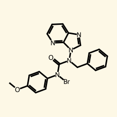 COc1ccc(N(Br)C(=O)N(Cc2ccccc2)n2cnc3cccnc32)cc1